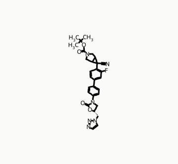 CC(C)(C)OC(=O)N1CC2C(C1)C2(C#N)c1ccc(-c2ccc(N3C[C@H](Cn4ccnn4)OC3=O)cc2)cc1F